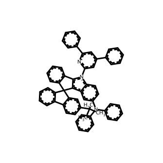 CC(C)(C)c1ccc2c(c1)C1(c3ccccc3-2)c2ccccc2-c2c1c1cc(N(c3ccccc3)c3ccccc3)ccc1n2-c1cc(-c2ccccc2)cc(-c2ccccc2)n1